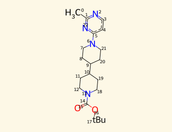 Cc1nccc(N2CCC(C3CCN(C(=O)OC(C)(C)C)CC3)CC2)n1